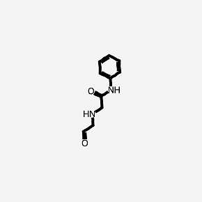 O=CCNCC(=O)Nc1ccccc1